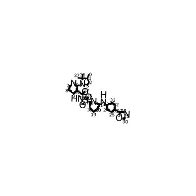 CC1CCN(c2ncccc2C(=O)NS(=O)(=O)c2cccc(Nc3ccc(-c4cnco4)cc3)n2)C1(C)C